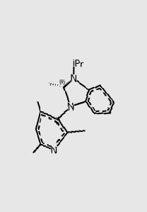 Cc1cc(C)c(N2c3ccccc3N(C(C)C)[C@H]2C)c(C)n1